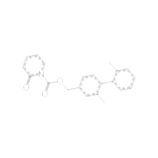 Cc1ccccc1-c1ccc(COC(=O)n2ccccc2=O)cc1C